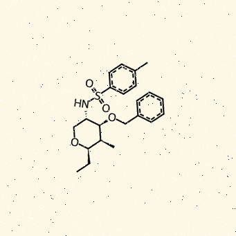 CC[C@H]1OC[C@H](NS(=O)(=O)c2ccc(C)cc2)[C@@H](OCc2ccccc2)[C@H]1C